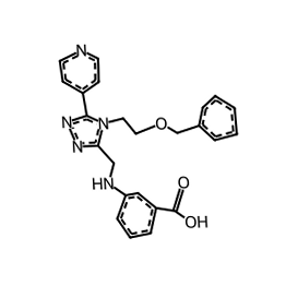 O=C(O)c1cccc(NCc2nnc(-c3ccncc3)n2CCOCc2ccccc2)c1